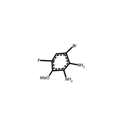 COc1c(F)cc(Br)c(N)c1N